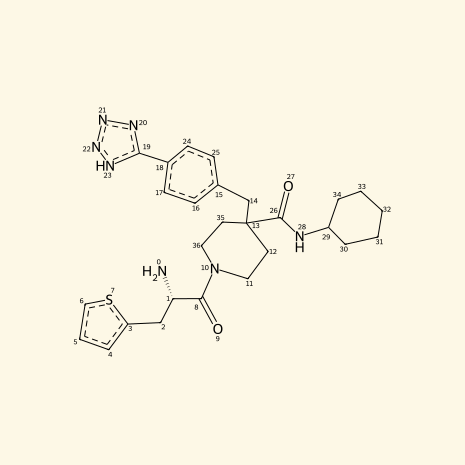 N[C@@H](Cc1cccs1)C(=O)N1CCC(Cc2ccc(-c3nnn[nH]3)cc2)(C(=O)NC2CCCCC2)CC1